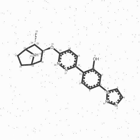 Oc1cc(-n2ccnn2)ccc1-c1ccc(O[C@H]2CC3CCC(N3)[C@@H]2F)nn1